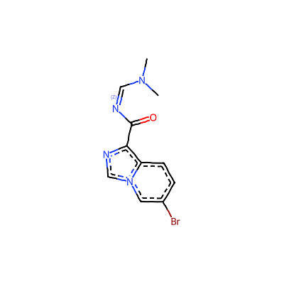 CN(C)/C=N\C(=O)c1ncn2cc(Br)ccc12